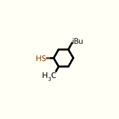 CCC(C)C1CCC(C)C(S)C1